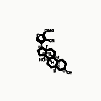 COc1occ([C@H]2CC[C@]3(O)[C@@H]4CC[C@@H]5C[C@@H](O)CC[C@]5(C)[C@H]4CC[C@]23C)c1C#N